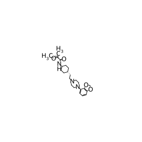 CO[C@@H](C)C(=O)N[C@H]1CC[C@H](CCN2CCN(c3cccc4c3OCO4)CC2)CC1